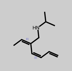 C=C/C=C\C(=C/C)CNC(C)C